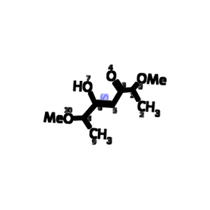 COC(C)C(=O)/C=C(\O)C(C)OC